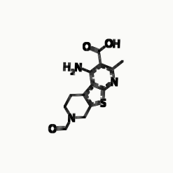 Cc1nc2sc3c(c2c(N)c1C(=O)O)CCN(C=O)C3